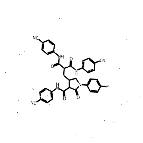 N#Cc1ccc(NC(=O)C(CC2CN(c3ccc(F)cc3)C(=O)C2C(=O)Nc2ccc(C#N)cc2)C(=O)Nc2ccc(C#N)cc2)cc1